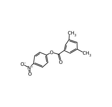 Cc1cc(C)cc(C(=O)Oc2ccc([N+](=O)[O-])cc2)c1